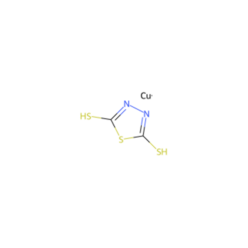 Sc1nnc(S)s1.[Cu]